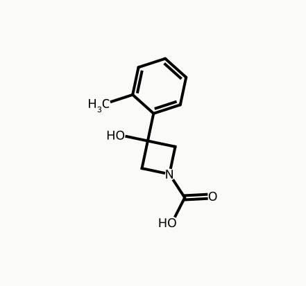 Cc1ccccc1C1(O)CN(C(=O)O)C1